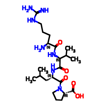 CC(C)C[C@H](NC(=O)[C@@H](NC(=O)[C@@H](N)CCCNC(=N)N)C(C)C)C(=O)N1CCC[C@H]1C(=O)O